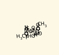 COc1ccc(C(=O)N2CC(O)C2)c(NC(=O)N2CC[C@](c3ccc(C)c(F)c3)(c3ncns3)C2)c1